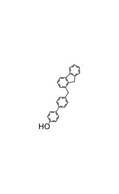 Oc1ccc(-c2ccc(Cc3cccc4c3Cc3ccccc3-4)cc2)cc1